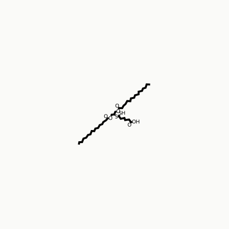 CCCCCCCCCCCCCCCC(=O)OCC(COC(=O)CCCCCCCCCCCCCCC)SC(S)CCCCC(=O)O